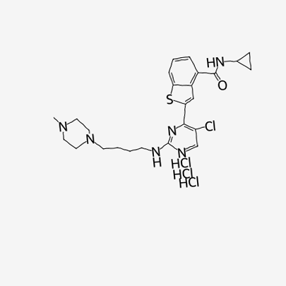 CN1CCN(CCCCNc2ncc(Cl)c(-c3cc4c(C(=O)NC5CC5)cccc4s3)n2)CC1.Cl.Cl.Cl